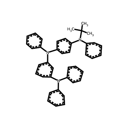 CC(C)(C)N(c1ccccc1)c1ccc(N(c2ccccc2)c2cccc(N(c3ccccc3)c3ccccc3)c2)cc1